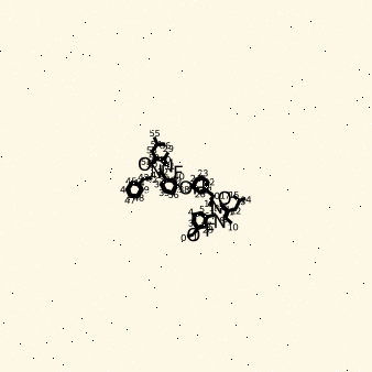 COc1cccc(-c2nc(C)c(CC(C)C)c(=O)n2CCc2ccccc2)c1F.Cc1nc(-c2cccc(O)c2F)n(CCc2ccccc2)c(=O)c1CC(C)C